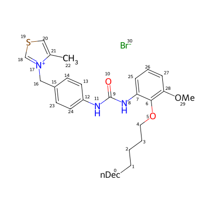 CCCCCCCCCCCCCCOc1c(NC(=O)Nc2ccc(C[n+]3cscc3C)cc2)cccc1OC.[Br-]